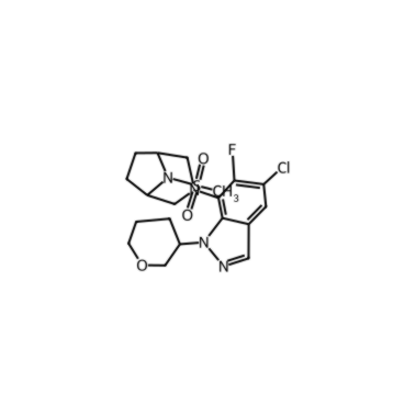 CS(=O)(=O)N1C2CCC1CN(c1c(F)c(Cl)cc3cnn(C4CCCOC4)c13)C2